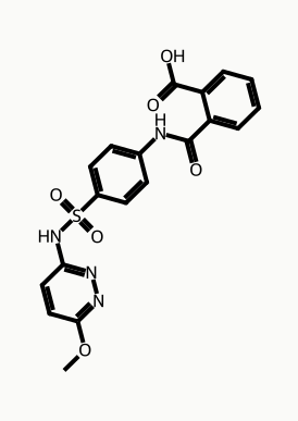 COc1ccc(NS(=O)(=O)c2ccc(NC(=O)c3ccccc3C(=O)O)cc2)nn1